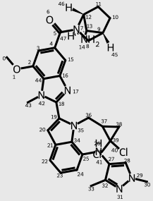 COc1cc(C(=O)N2C[C@H]3CC[C@@H]2[C@@H]3N)cc2nc(-c3cc4cccc(Nc5cn(C)nc5C)c4n3CC3CC3(Cl)Cl)n(C)c12